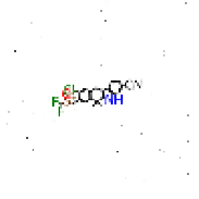 CC1(C)c2cc(C[S+]([O-])C(F)F)c(Cl)cc2Cc2c1[nH]c1cc(C#N)ccc21